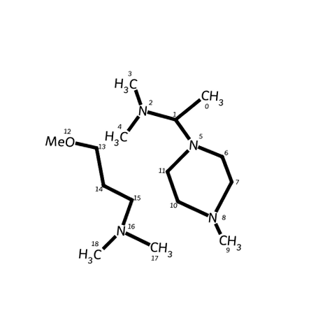 CC(N(C)C)N1CCN(C)CC1.COCCCN(C)C